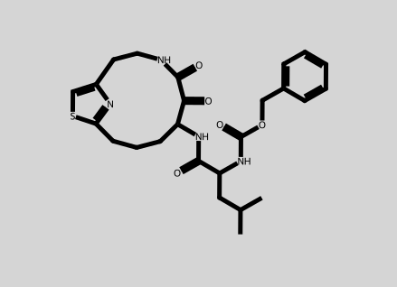 CC(C)CC(NC(=O)OCc1ccccc1)C(=O)NC1CCCc2nc(cs2)CCNC(=O)C1=O